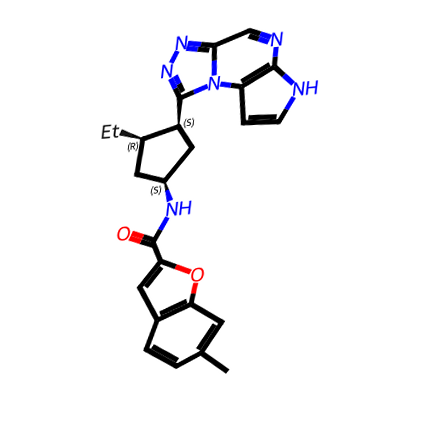 CC[C@@H]1C[C@H](NC(=O)c2cc3ccc(C)cc3o2)C[C@@H]1c1nnc2cnc3[nH]ccc3n12